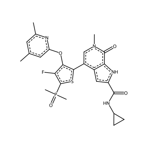 Cc1cc(C)nc(Oc2c(-c3cn(C)c(=O)c4[nH]c(C(=O)NC5CC5)cc34)sc(P(C)(C)=O)c2F)c1